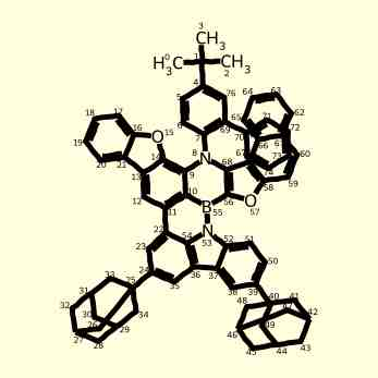 CC(C)(C)c1ccc(N2c3c4c(cc5c3oc3ccccc35)-c3cc(C56CC7CC(CC(C7)C5)C6)cc5c6cc(C78CC9CC(CC(C9)C7)C8)ccc6n(c35)B4c3oc4ccc5ccccc5c4c32)c(-c2ccccc2)c1